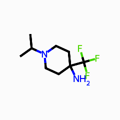 CC(C)N1CCC(N)(C(F)(F)F)CC1